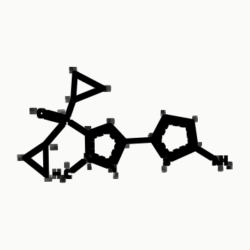 Cn1nc(-c2ccc(N)s2)cc1P(=O)(C1CC1)C1CC1